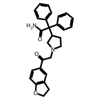 NC(=O)C(c1ccccc1)(c1ccccc1)C1CCN(CC(=O)c2ccc3c(c2)CCO3)C1